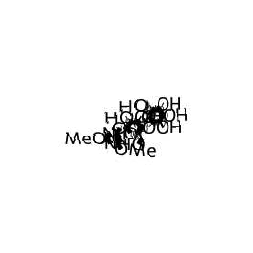 COc1nc(OC)nc(O[C@@H]2O[C@H](CO)[C@@H](O[C@@H]3O[C@H](CO)[C@H](O)[C@H](O)[C@H]3O)[C@H](O)[C@H]2O)n1